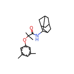 Cc1cc(C)cc(OC(C)(C)C(=O)NC2C3CC4CC(C3)CC2C4)c1